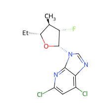 CC[C@H]1O[C@@H](n2cnc3c(Cl)cc(Cl)nc32)[C@@H](F)[C@@H]1C